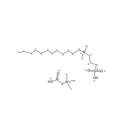 CCCCCCCCCCCC[N+](C)(C)CCCS(=O)(=O)O.C[N+](C)(C)CC(=O)O